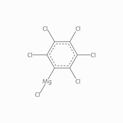 [Cl][Mg][c]1c(Cl)c(Cl)c(Cl)c(Cl)c1Cl